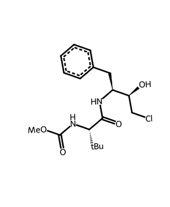 COC(=O)N[C@H](C(=O)N[C@@H](Cc1ccccc1)[C@@H](O)CCl)C(C)(C)C